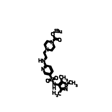 Cc1nn(C)c(C)c1NS(=O)(=O)c1ccc(NCCN2CCN(C(=O)OC(C)(C)C)CC2)nc1